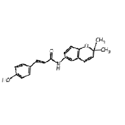 CC1(C)C=Cc2cc(NC(=O)/C=C/c3ccc(O)cc3)ccc2O1